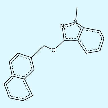 Cn1nc(OCc2ccc3ccccc3c2)c2ccccc21